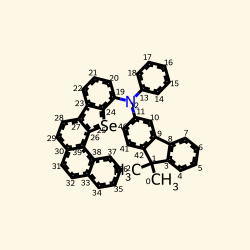 CC1(C)c2ccccc2-c2cc(N(c3ccccc3)c3cccc4c3[se]c3c4ccc4ccc5ccccc5c43)ccc21